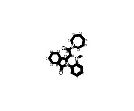 COc1ccccc1N1C(=O)C2=C(CCCC2)C1CC(=O)N1CCCCCC1